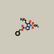 C=CCC1C(=O)N(S(C)(=O)=O)C2CCN(C(=O)OCc3ccccc3)C12